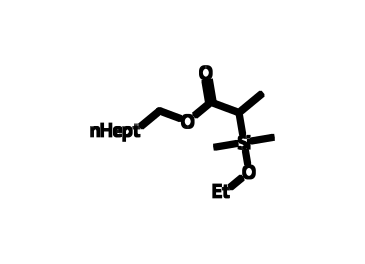 CCCCCCCCOC(=O)C(C)[Si](C)(C)OCC